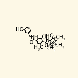 COC(=O)C(NC(=O)c1c(C)cc(C(=O)NCc2cccc(O)c2)cc1Cl)P(=O)(OC)OC